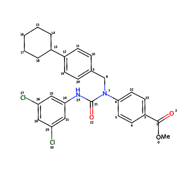 COC(=O)c1ccc(N(Cc2ccc(C3CCCCC3)cc2)C(=O)Nc2cc(Cl)cc(Cl)c2)cc1